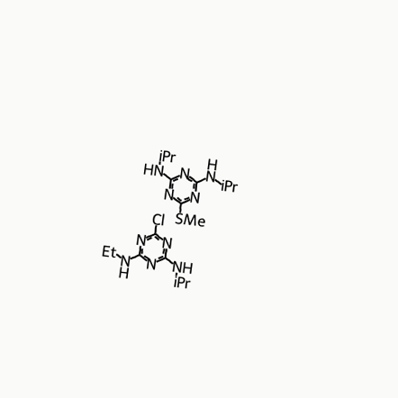 CCNc1nc(Cl)nc(NC(C)C)n1.CSc1nc(NC(C)C)nc(NC(C)C)n1